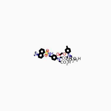 Cc1ccc(N(CC(=O)O)CC(=O)O)c(OCCOc2cc(CNS(=O)(=O)c3cccc4c(N(C)C)cccc34)ccc2N(CC(=O)O)CC(=O)O)c1